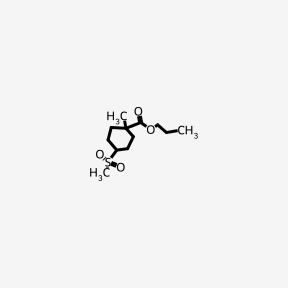 CCCOC(=O)C1(C)CCC(S(C)(=O)=O)CC1